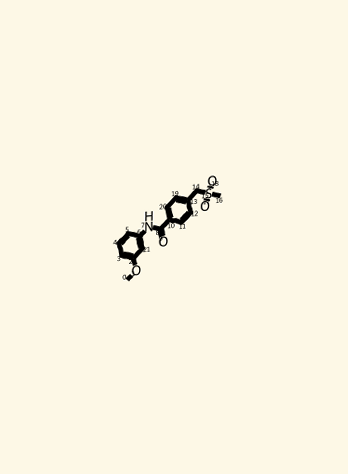 COc1cccc(NC(=O)c2ccc(CS(C)(=O)=O)cc2)c1